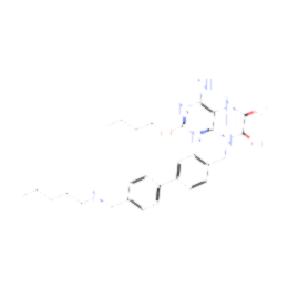 CCCCCNCc1ccc(-c2ccc(Cn3c(=O)c(=O)[nH]c4c(N)nc(OCCCC)nc43)cc2)cc1